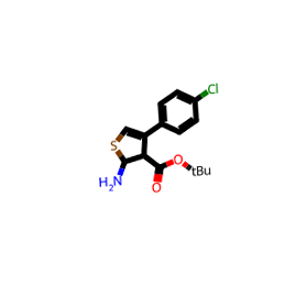 CC(C)(C)OC(=O)C1C(c2ccc(Cl)cc2)=CSC1N